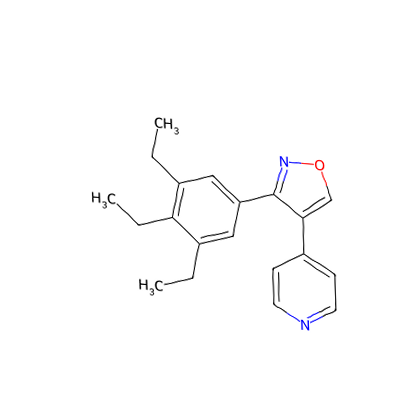 CCc1cc(-c2nocc2-c2ccncc2)cc(CC)c1CC